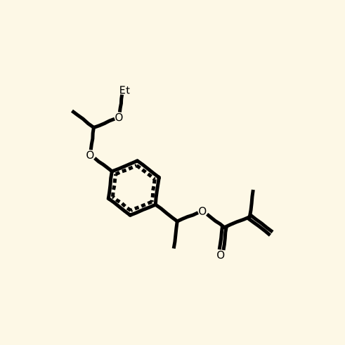 C=C(C)C(=O)OC(C)c1ccc(OC(C)OCC)cc1